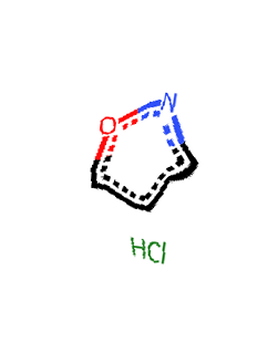 Cl.c1cnoc1